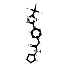 O=C(Cc1ccc(-c2noc(C(F)(F)F)n2)cc1)NC1CCCC1